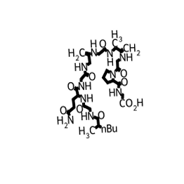 C=C(CNC(=O)CNC(=O)C(CCC(N)=O)NC(=O)CNC(=O)C(C)CCCC)NCC(=O)NC(C)C(=C)NCC(=O)N1CCCC1C(=O)NCC(=O)O